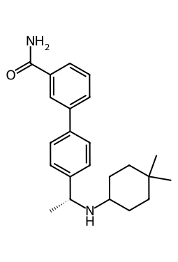 C[C@@H](NC1CCC(C)(C)CC1)c1ccc(-c2cccc(C(N)=O)c2)cc1